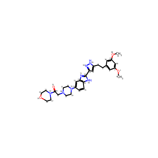 COc1cc(CCc2cc(-c3nc4cc(N5CCN(CC(=O)N6CCOCC6)CC5)ccc4[nH]3)n[nH]2)cc(OC)c1